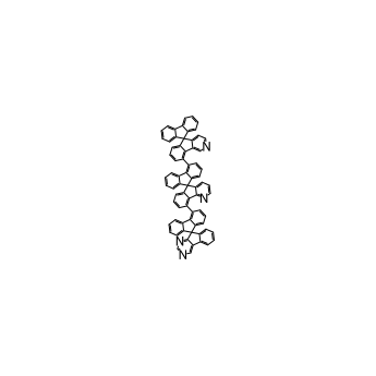 c1ccc2c(c1)-c1ccccc1C21c2ccncc2-c2c(-c3cccc4c3-c3ccccc3C43c4cccnc4-c4c(-c5cccc6c5-c5ccccc5C65c6ccccc6-c6cncnc65)cccc43)cccc21